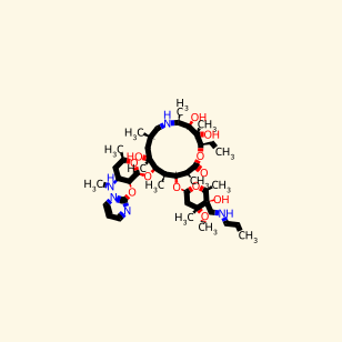 CCCNC[C@]1(O)[C@H](C)O[C@@H](O[C@H]2[C@H](C)[C@@H](O[C@@H]3O[C@H](C)C[C@H](NC)[C@H]3Oc3ncccn3)[C@](C)(O)C[C@@H](C)CN[C@H](C)[C@@H](O)[C@](C)(O)[C@@H](CC)OC(=O)[C@@H]2C)C[C@@]1(C)OC